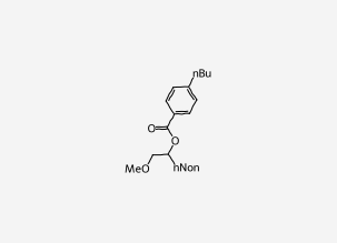 CCCCCCCCCC(COC)OC(=O)c1ccc(CCCC)cc1